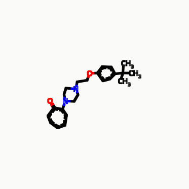 CC(C)(C)c1ccc(OCCN2CCN(c3cccccc3=O)CC2)cc1